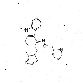 Cc1nccn1CC1CCc2c(c3ccccc3n2C)C1=NOCc1ccccn1